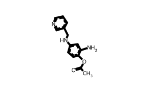 CC(=O)Oc1ccc(NCc2cccnc2)cc1N